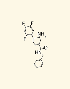 N[C@@H]1CC(C(=O)NCc2ccccc2)=CC[C@H]1c1cc(F)c(F)cc1F